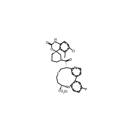 CCOC(=O)[C@H]1CCCC[C@H](C(=O)N2CCC[C@@]3(C2)OC(=O)Nc2ccc(Cl)c(F)c23)c2cc(ccn2)-c2cc(F)ccc2N1